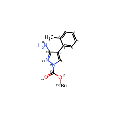 Cc1ccccc1-c1cn(C(=O)OC(C)(C)C)nc1N